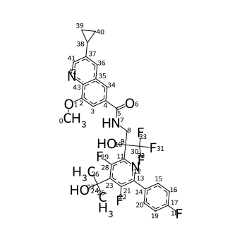 COc1cc(C(=O)NCC(O)(c2nc(-c3ccc(F)cc3)c(F)c(C(C)(C)O)c2F)C(F)(F)F)cc2cc(C3CC3)cnc12